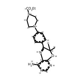 CCOC(=O)N1CCN(c2ccc(C3=Nc4c(N)ncnc4OC3(C)C)cc2)CC1